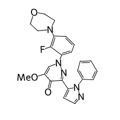 COc1cn(-c2cccc(N3CCOCC3)c2F)nc(-c2ccnn2-c2ccccc2)c1=O